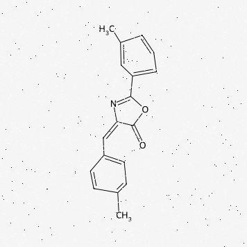 Cc1ccc(C=C2N=C(c3cccc(C)c3)OC2=O)cc1